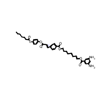 CCCCCCC(=O)Oc1ccc(OC(=O)/C=C/c2ccc(C(=O)OCCCCCCCCOC(=O)c3cc(N)cc(N)c3)cc2)cc1